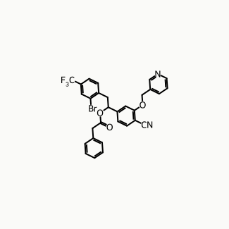 N#Cc1ccc(C(Cc2ccc(C(F)(F)F)cc2Br)OC(=O)Cc2ccccc2)cc1OCc1cccnc1